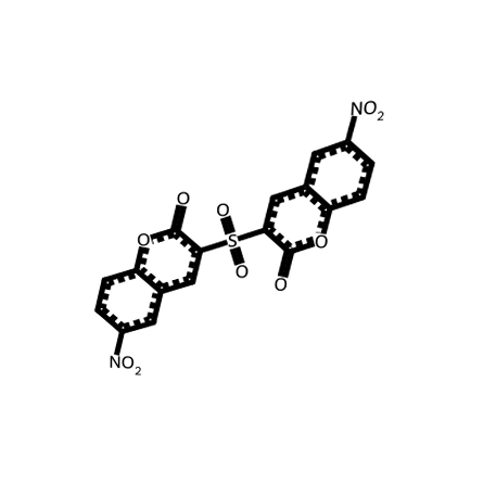 O=c1oc2ccc([N+](=O)[O-])cc2cc1S(=O)(=O)c1cc2cc([N+](=O)[O-])ccc2oc1=O